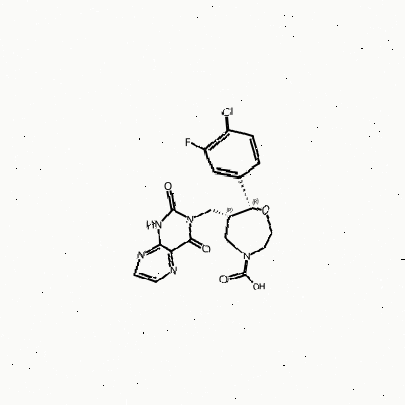 O=C(O)N1CCO[C@@H](c2ccc(Cl)c(F)c2)[C@@H](Cn2c(=O)[nH]c3nccnc3c2=O)C1